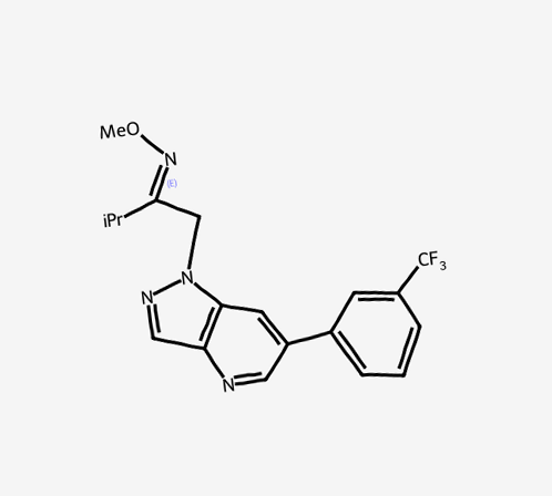 CO/N=C(/Cn1ncc2ncc(-c3cccc(C(F)(F)F)c3)cc21)C(C)C